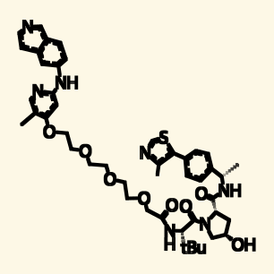 Cc1cnc(Nc2ccc3cnccc3c2)cc1OCCOCCOCCOCC(=O)N[C@H](C(=O)N1C[C@H](O)C[C@H]1C(=O)N[C@@H](C)c1ccc(-c2scnc2C)cc1)C(C)(C)C